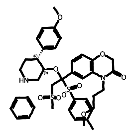 COCCCN1C(=O)COc2ccc(C(CS(C)(=O)=O)(O[C@H]3CNCC[C@@H]3c3ccc(OC)cc3)S(=O)(=O)c3ccc(C)cc3)cc21.c1ccccc1